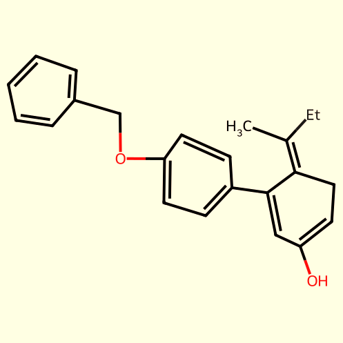 CCC(C)=C1CC=C(O)C=C1c1ccc(OCc2ccccc2)cc1